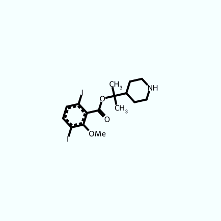 COc1c(I)ccc(I)c1C(=O)OC(C)(C)C1CCNCC1